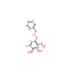 Cc1cc(CSCc2ccccc2)c(C=O)c(O)c1O